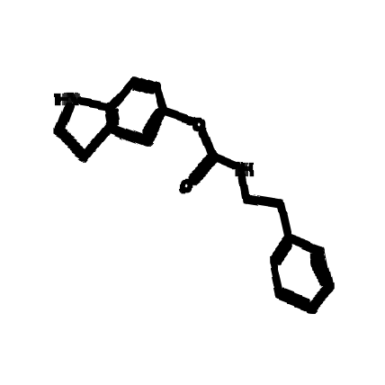 O=C(NCCc1ccccc1)Oc1ccc2c(c1)CCN2